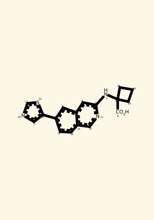 O=C(O)C1(Nc2cc3cc(-c4cncs4)ccc3cn2)CCC1